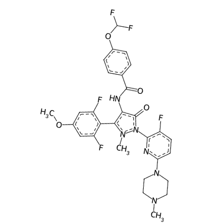 COc1cc(F)c(-c2c(NC(=O)c3ccc(OC(F)F)cc3)c(=O)n(-c3nc(N4CCN(C)CC4)ccc3F)n2C)c(F)c1